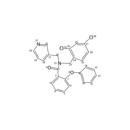 O=C(c1ccccc1Oc1ccccc1)N(Cc1cccnc1)Cc1ccc(Cl)cc1Cl